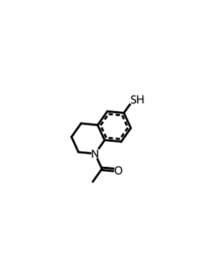 CC(=O)N1CCCc2cc(S)ccc21